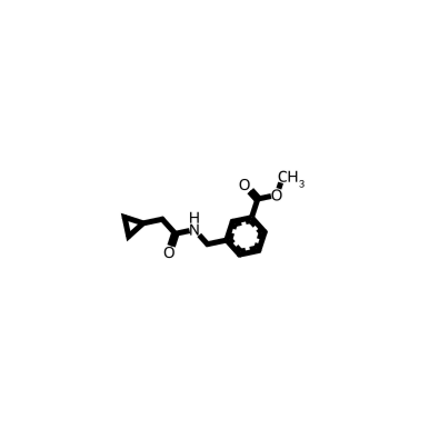 COC(=O)c1cccc(CNC(=O)CC2CC2)c1